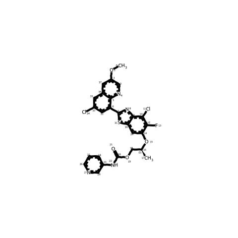 COc1cnc2c(-c3nc4c(Cl)c(F)c(O[C@@H](C)COC(=O)Nc5cccnc5)cc4s3)cc(Cl)cc2c1